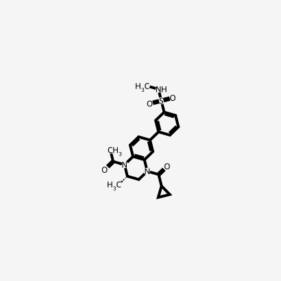 CNS(=O)(=O)c1cccc(-c2ccc3c(c2)N(C(=O)C2CC2)C[C@H](C)N3C(C)=O)c1